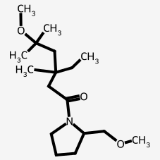 CCC(C)(CC(=O)N1CCCC1COC)CC(C)(C)OC